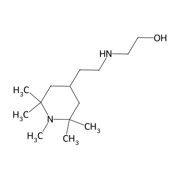 CN1C(C)(C)CC(CCNCCO)CC1(C)C